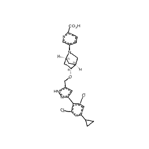 O=C(O)c1ccc(N2C[C@@H]3C[C@H]2C[C@H]3OCc2cc(-c3c(Cl)cc(C4CC4)cc3Cl)n[nH]2)cn1